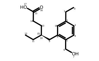 CCc1ccc(CO)c(C[C@@H](CC)CCC(=O)O)c1